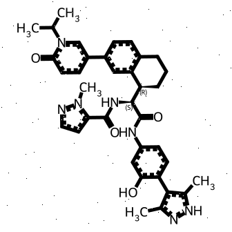 Cc1n[nH]c(C)c1-c1ccc(NC(=O)[C@@H](NC(=O)c2ccnn2C)[C@@H]2CCCc3ccc(-c4ccc(=O)n(C(C)C)c4)cc32)cc1O